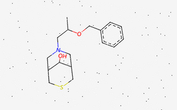 CC(CN1CC2CSCC(C1)C2O)OCc1ccccc1